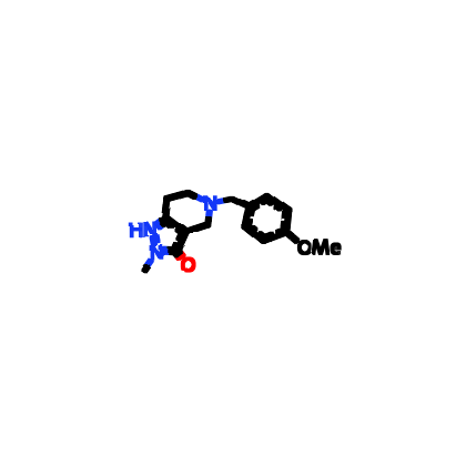 COc1ccc(CN2CCc3[nH]n(C)c(=O)c3C2)cc1